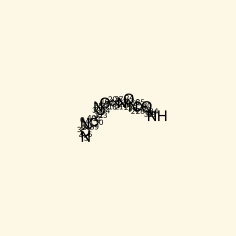 Cn1c2ccncc2c2ccc(-c3ccc(OC4CC5(C4)CN(C(=O)CN4CCC(OC6CNC6)CC4)C5)nc3)cc21